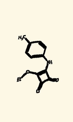 CCOc1c(Nc2ccc(C)cc2)c(=O)c1=O